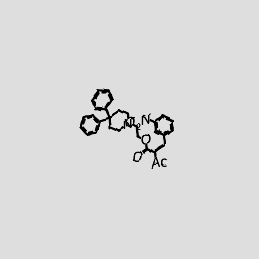 CC(=O)C(=Cc1cccc([N+](=O)[O-])c1)C(=O)OCCN1CCC(c2ccccc2)(c2ccccc2)CC1